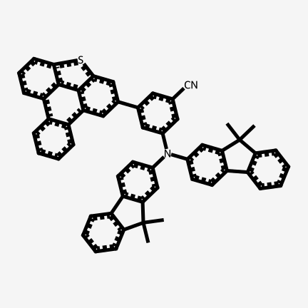 CC1(C)c2ccccc2-c2ccc(N(c3cc(C#N)cc(-c4cc5sc6cccc7c8ccccc8c(c4)c5c67)c3)c3ccc4c(c3)C(C)(C)c3ccccc3-4)cc21